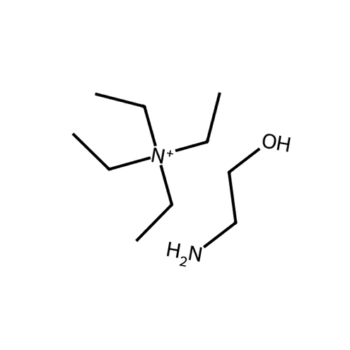 CC[N+](CC)(CC)CC.NCCO